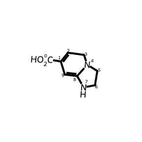 O=C(O)C1=CCN2CCNC2=C1